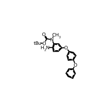 CN(C(=O)OC(C)(C)C)c1cc(Oc2ccc(Oc3ccccc3)cc2)ccc1N